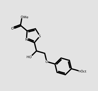 CCCCCCCCc1ccc(OCC(O)c2nc(C(=O)OC)cs2)cc1